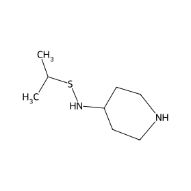 CC(C)SNC1CCNCC1